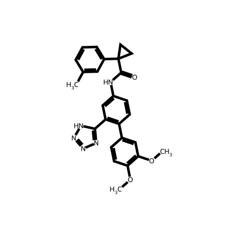 COc1ccc(-c2ccc(NC(=O)C3(c4cccc(C)c4)CC3)cc2-c2nnn[nH]2)cc1OC